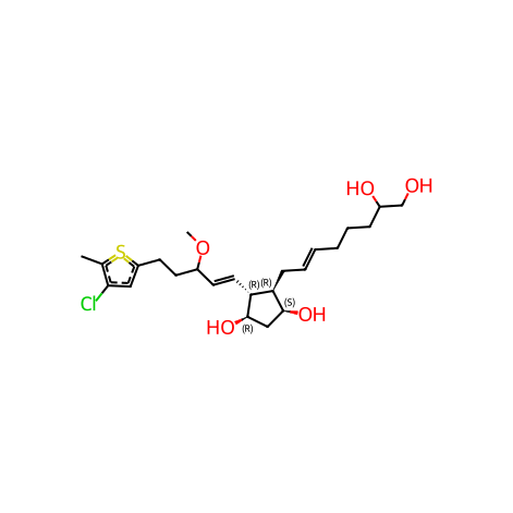 COC(C=C[C@@H]1[C@@H](CC=CCCCC(O)CO)[C@@H](O)C[C@H]1O)CCc1cc(Cl)c(C)s1